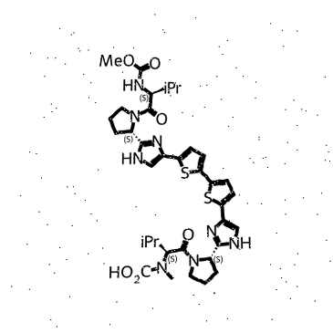 COC(=O)N[C@H](C(=O)N1CCC[C@H]1c1nc(-c2ccc(-c3ccc(-c4c[nH]c([C@@H]5CCCN5C(=O)[C@H](C(C)C)N(C)C(=O)O)n4)s3)s2)c[nH]1)C(C)C